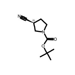 CC(C)(C)OC(=O)N1CC[C@H](C#N)C1